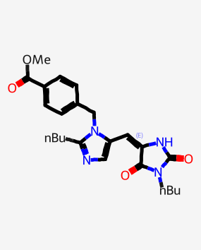 CCCCc1ncc(/C=C2/NC(=O)N(CCCC)C2=O)n1Cc1ccc(C(=O)OC)cc1